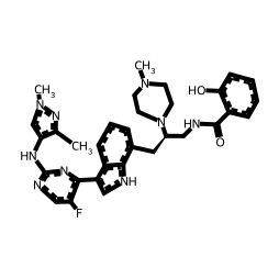 Cc1nn(C)cc1Nc1ncc(F)c(-c2c[nH]c3c(C[C@H](CNC(=O)c4ccccc4O)N4CCN(C)CC4)cccc23)n1